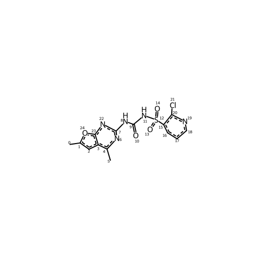 Cc1cc2c(C)nc(NC(=O)NS(=O)(=O)c3cccnc3Cl)nc2o1